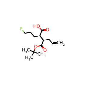 C=CC[C@@H](C(=O)OC(C)(C)C)[C@@H](CCCF)C(=O)O